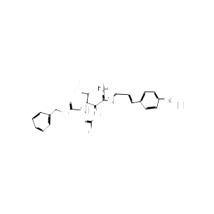 COc1ccc(C=Cc2nc(C(OC(C)=O)[C@@H](NC(=O)OCc3ccccc3)C(C)C)no2)cc1